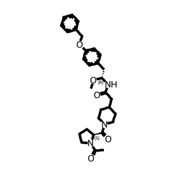 CO[C@H](Cc1ccc(OCc2ccccc2)cc1)NC(=O)CC1CCN(C(=O)[C@@H]2CCCN2C(C)=O)CC1